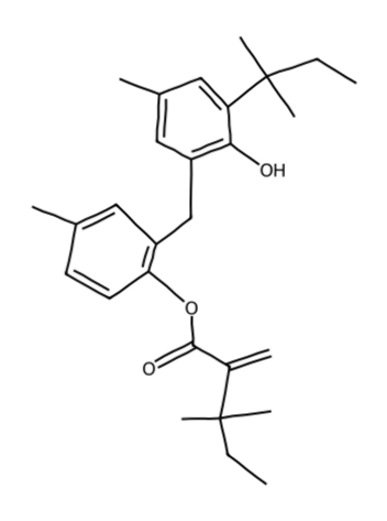 C=C(C(=O)Oc1ccc(C)cc1Cc1cc(C)cc(C(C)(C)CC)c1O)C(C)(C)CC